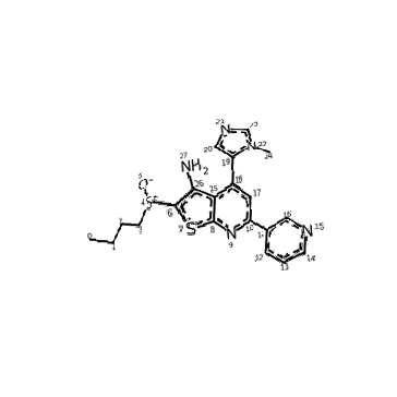 CCCC[S+]([O-])c1sc2nc(-c3cccnc3)cc(-c3cncn3C)c2c1N